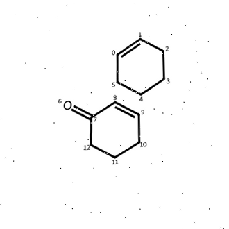 C1=CCCCC1.O=C1C=CCCC1